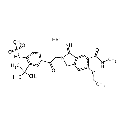 Br.CCOc1cc2c(cc1C(=O)NC)C(=N)N(CC(=O)c1ccc(NS(C)(=O)=O)c(C(C)(C)C)c1)C2